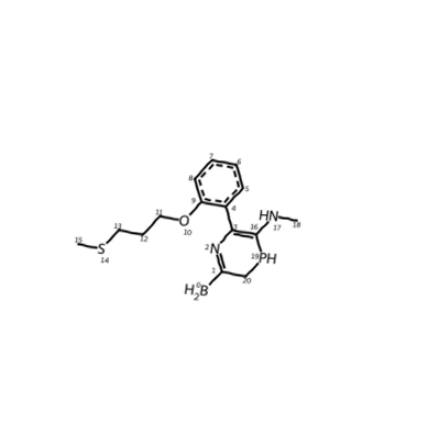 BC1=NC(c2ccccc2OCCCSC)=C(NC)PC1